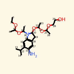 CCOC(C)OC(C)N1c2cc(C(C)C)c(N)cc2CC1OC(C)OC(C)OCCO